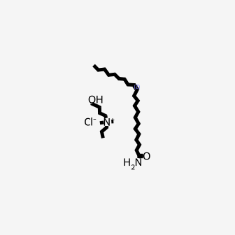 CCCCCCCC/C=C\CCCCCCCCCCCC(N)=O.CCC[N+](C)(C)CCCCO.[Cl-]